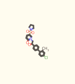 Cc1cc(Cl)ccc1-c1ccc(C(=O)Cn2cc(S(=O)(=O)N3CCCC3)ccc2=O)cc1